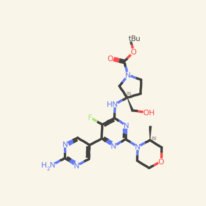 C[C@H]1COCCN1c1nc(N[C@@]2(CO)CCN(C(=O)OC(C)(C)C)C2)c(F)c(-c2cnc(N)nc2)n1